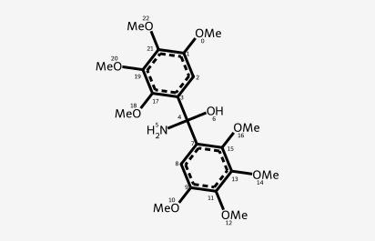 COc1cc(C(N)(O)c2cc(OC)c(OC)c(OC)c2OC)c(OC)c(OC)c1OC